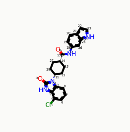 O=c1[nH]c2c(Cl)cccc2n1[C@H]1CC[C@@H](C(=O)Nc2ccc3cc[nH]c3c2)CC1